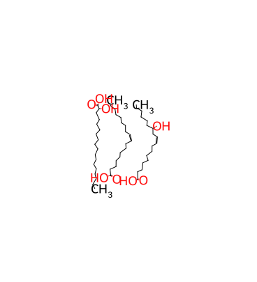 CCCCCCC(O)C/C=C\CCCCCCCC(=O)O.CCCCCCCC/C=C\CCCCCCCC(=O)O.CCCCCCCCCCCCCCCCC(O)C(=O)O